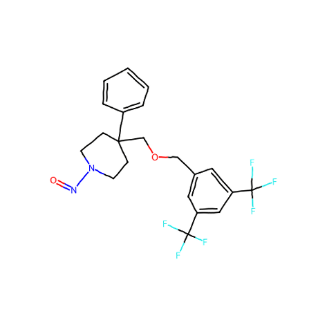 O=NN1CCC(COCc2cc(C(F)(F)F)cc(C(F)(F)F)c2)(c2ccccc2)CC1